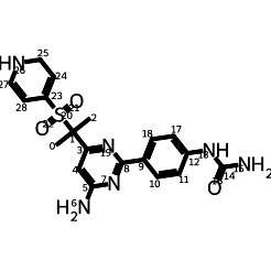 CC(C)(c1cc(N)nc(-c2ccc(NC(N)=O)cc2)n1)S(=O)(=O)C1=CCNC=C1